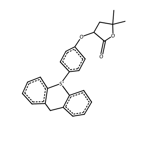 CC1(C)CC(Oc2ccc([S+]3c4ccccc4Cc4ccccc43)cc2)C(=O)O1